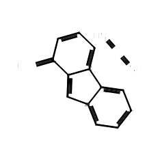 C=c1cccc2c1=Cc1ccccc1-2.N=C=N